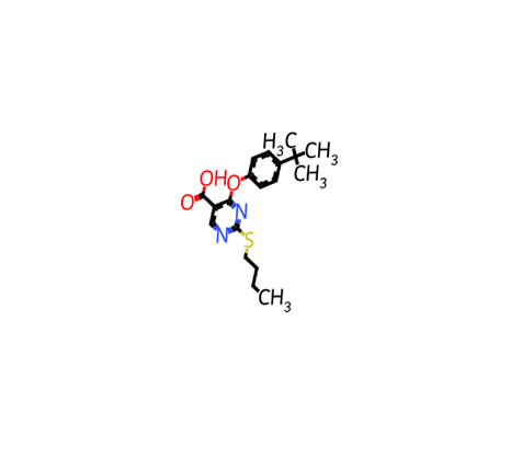 CCCCSc1ncc(C(=O)O)c(Oc2ccc(C(C)(C)C)cc2)n1